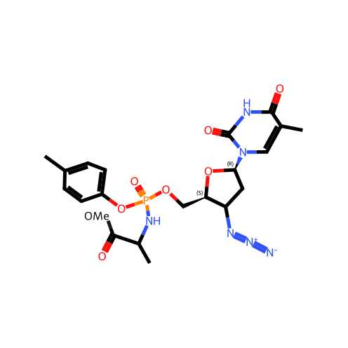 COC(=O)C(C)NP(=O)(OC[C@H]1O[C@@H](n2cc(C)c(=O)[nH]c2=O)CC1N=[N+]=[N-])Oc1ccc(C)cc1